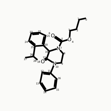 CCCCOC(=O)N1CCN(c2ccccc2)C(=O)C1c1ccccc1C(C)C